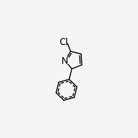 ClC1=NC(c2ccccc2)C=C1